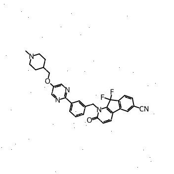 CN1CCC(COc2cnc(-c3cccc(Cn4c5c(ccc4=O)-c4cc(C#N)ccc4C5(F)F)c3)nc2)CC1